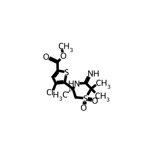 COC(=O)c1cc(Cl)c([C@]2(C)CS(=O)(=O)C(C)(C)C(=N)N2)s1